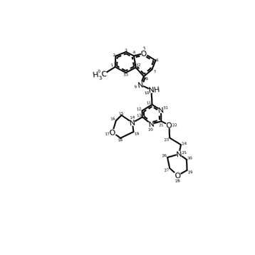 Cc1ccc2occ/c(=N\Nc3cc(N4CCOCC4)nc(OCCN4CCOCC4)n3)c2c1